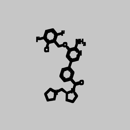 Nc1ncc(-c2cccc(C(=O)N3CCC[C@H]3CN3CCCC3)c2)cc1OCc1c(F)ccc(F)c1Cl